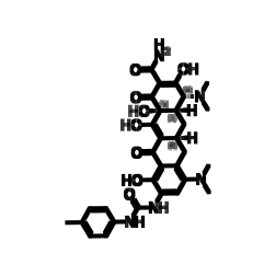 Cc1ccc(NC(=O)Nc2cc(N(C)C)c3c(c2O)C(=O)C2=C(O)[C@]4(O)C(=O)C(C(N)=O)=C(O)[C@H](N(C)C)[C@@H]4C[C@@H]2C3)cc1